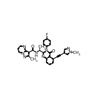 Cc1nn2cccnc2c1C(=O)N[C@@H](C)c1nc2cccc(C#Cc3cnn(C)c3)c2c(=O)n1-c1ccc(F)cc1